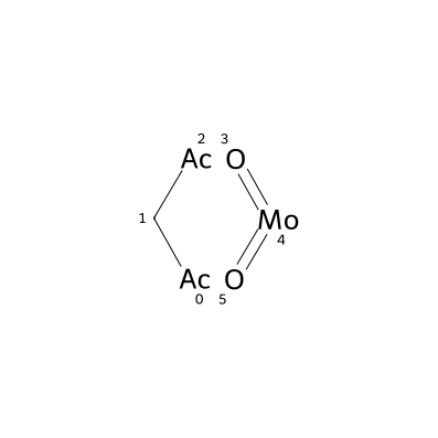 CC(=O)CC(C)=O.[O]=[Mo]=[O]